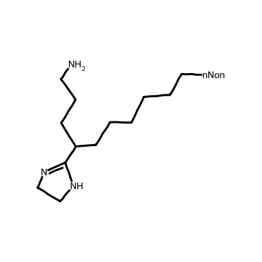 CCCCCCCCCCCCCCCC(CCCN)C1=NCCN1